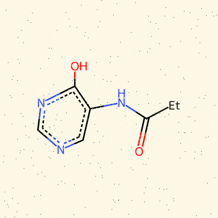 CCC(=O)Nc1cncnc1O